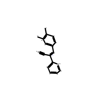 Cc1ccc(/C=C(\C#N)c2ccccn2)cc1C